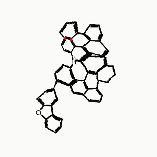 c1ccc(-c2cccc3cccc(-c4ccccc4N(c4ccc(-c5ccc6oc7ccccc7c6c5)cc4)c4ccccc4-c4cccc5cccc(C6CCCCC6)c45)c23)cc1